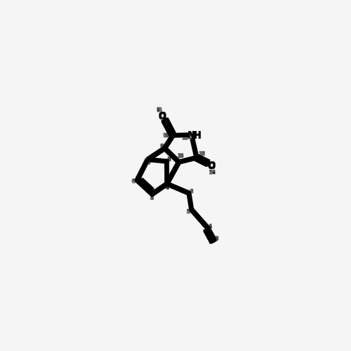 C=CCCC12C=CC(C1)C1C(=O)NC(=O)C12